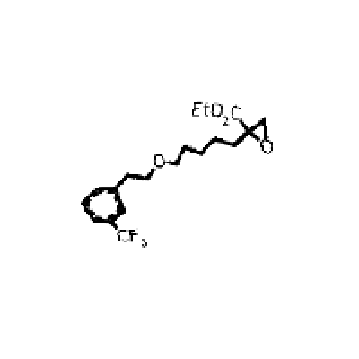 CCOC(=O)C1(CCCCCOCCc2cccc(C(F)(F)F)c2)CO1